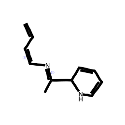 C=C/C=C\N=C(/C)C1C=CC=CN1